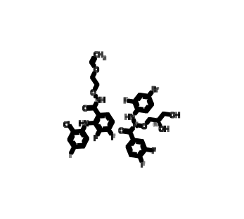 C=COCCONC(=O)c1ccc(F)c(F)c1Nc1ccc(I)cc1Cl.O=C(c1ccc(F)c(F)c1)N(Nc1ccc(Br)cc1F)OC[C@H](O)CO